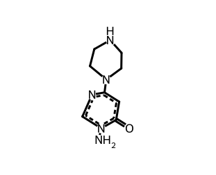 Nn1cnc(N2CCNCC2)cc1=O